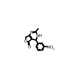 CC1=NC2=C(C(=O)OC2)C(c2cccc([N+](=O)[O-])c2)N1